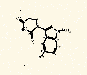 Cn1cc(C2CCC(=O)NC2=O)c2cc(Br)cnc21